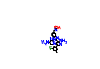 Cc1cc(F)cc(-c2cnc(N)c(-c3nc4cc(C=NO)ccc4[nH]3)c2N2CCC(N)CC2)c1